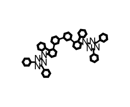 c1ccc(-c2nc(-c3ccccc3)nc(-n3c4ccccc4c4c(-c5cccc(-c6cccc(-c7cccc8c7c7ccccc7n8-c7nc(-c8ccccc8)nc(-c8ccccc8)n7)c6)c5)cccc43)n2)cc1